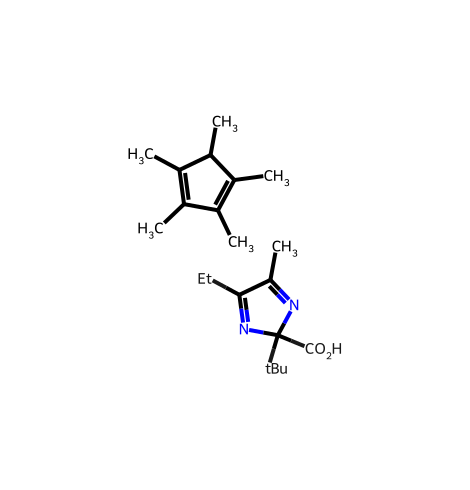 CC1=C(C)C(C)C(C)=C1C.CCC1=NC(C(=O)O)(C(C)(C)C)N=C1C